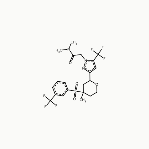 CN(C)C(=O)Cn1nc(C2CC(C)(S(=O)(=O)c3cccc(C(F)(F)F)c3)CCO2)cc1C(F)(F)F